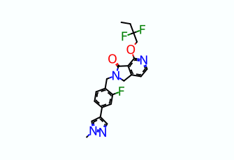 CCC(F)(F)COc1nccc2c1C(=O)N(Cc1ccc(-c3cnn(C)c3)cc1F)C2